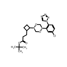 CC(C)(C)OC(=O)CCC1CCC1N1CON(c2cc(Cl)ccc2-n2cnnn2)CO1